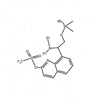 CCN(CC)C(CO[Si](C)(C)C(C)(C)C)c1cccc2ccc(OS(=O)(=O)C(F)(F)F)nc12